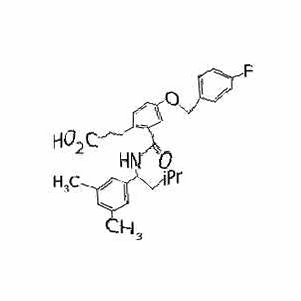 Cc1cc(C)cc(C(CC(C)C)NC(=O)c2cc(OCc3ccc(F)cc3)ccc2CCC(=O)O)c1